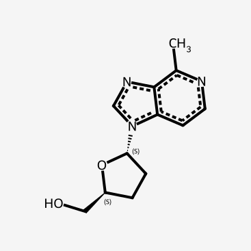 Cc1nccc2c1ncn2[C@@H]1CC[C@@H](CO)O1